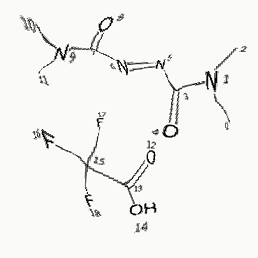 CN(C)C(=O)N=NC(=O)N(C)C.O=C(O)C(F)(F)F